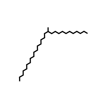 CCCCCCCCCCCCCCCCC(C)CCCCCCCCCCC